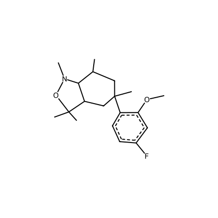 COc1cc(F)ccc1C1(C)CC(C)C2C(C1)C(C)(C)ON2C